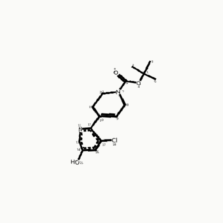 CC(C)(C)OC(=O)N1CC=C(c2ncc(O)cc2Cl)CC1